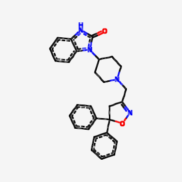 O=c1[nH]c2ccccc2n1C1CCN(CC2=NOC(c3ccccc3)(c3ccccc3)C2)CC1